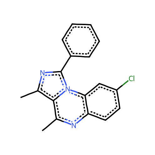 Cc1nc(-c2ccccc2)n2c1c(C)nc1ccc(Cl)cc12